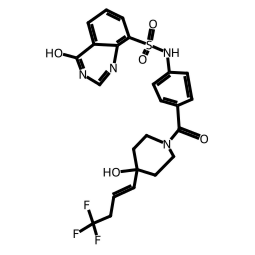 O=C(c1ccc(NS(=O)(=O)c2cccc3c(O)ncnc23)cc1)N1CCC(O)(/C=C/CC(F)(F)F)CC1